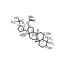 CC(C)(C)C(=O)O[C@H]1C[C@@]2(C)[C@@H]3C[C@H](O)[C@H]4C(C)(C)[C@@H](O)CCC45C[C@@]35CC[C@]2(C)[C@H]1[C@@]1(C)CC[C@@H](C(C)(C)O)O1